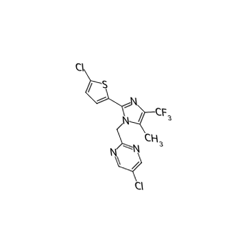 Cc1c(C(F)(F)F)nc(-c2ccc(Cl)s2)n1Cc1ncc(Cl)cn1